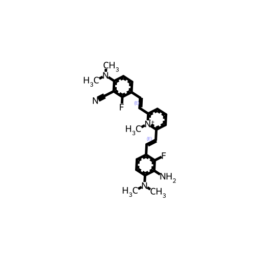 CN(C)c1ccc(/C=C/c2cccc(/C=C/c3ccc(N(C)C)c(C#N)c3F)[n+]2C)c(F)c1N